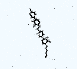 C=CCCCOc1ccc(-c2ccc(CCc3ccc(-c4ccc(C)nc4)c(F)c3F)cc2)c(F)c1F